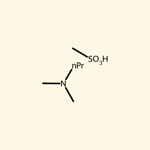 CCCN(C)C.CS(=O)(=O)O